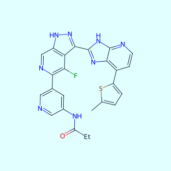 CCC(=O)Nc1cncc(-c2ncc3[nH]nc(-c4nc5c(-c6ccc(C)s6)ccnc5[nH]4)c3c2F)c1